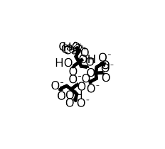 O=C([O-])CC(CC(=O)[O-])(OC(=O)CC(O)(CC(=O)O)C(=O)O)C(=O)[O-].O=C([O-])CC(O)(CC(=O)[O-])C(=O)[O-].[Ca+2].[Ca+2].[Ca+2]